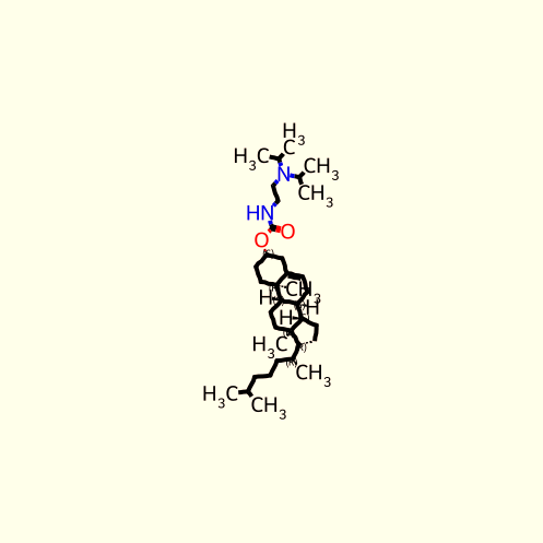 CC(C)CCC[C@@H](C)[C@H]1CC[C@H]2[C@@H]3CC=C4C[C@@H](OC(=O)NCCN(C(C)C)C(C)C)CC[C@]4(C)[C@H]3CC[C@]12C